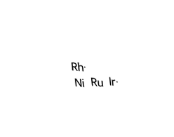 [Ir].[Ni].[Rh].[Ru]